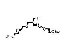 COCCOCCOCC(CO)COCCOCCOC